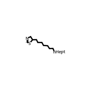 CCCCCCCCCCCCCCC1CN=[C]S1